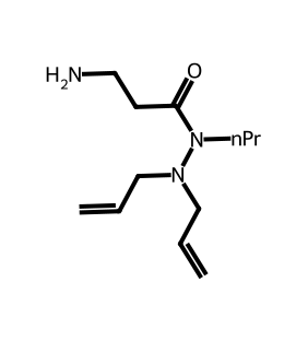 C=CCN(CC=C)N(CCC)C(=O)CCN